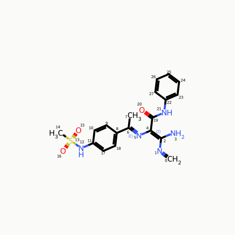 C=N/C(N)=C(\N=C(/C)c1ccc(NS(C)(=O)=O)cc1)C(=O)Nc1ccccc1